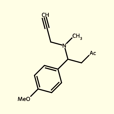 C#CCN(C)C(CC(C)=O)c1ccc(OC)cc1